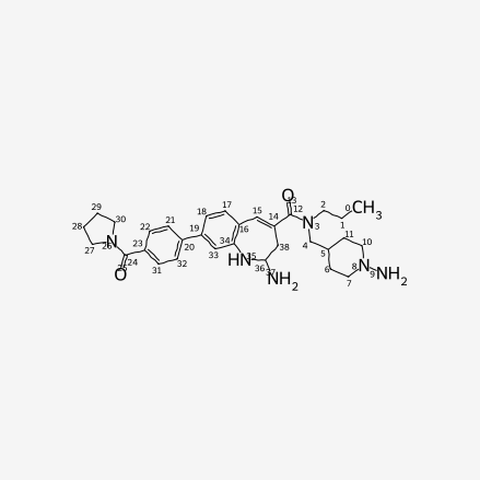 CCCN(CC1CCN(N)CC1)C(=O)C1=Cc2ccc(-c3ccc(C(=O)N4CCCC4)cc3)cc2NC(N)C1